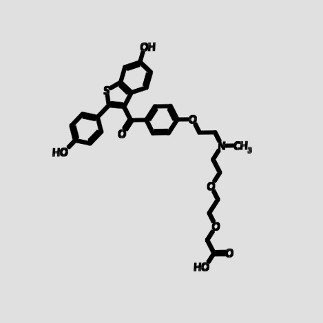 CN(CCOCCOCC(=O)O)CCOc1ccc(C(=O)c2c(-c3ccc(O)cc3)sc3cc(O)ccc23)cc1